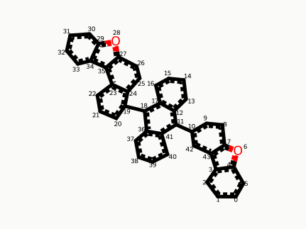 c1ccc2c(c1)oc1ccc(-c3c4ccccc4c(-c4cccc5c4ccc4oc6ccccc6c45)c4ccccc34)cc12